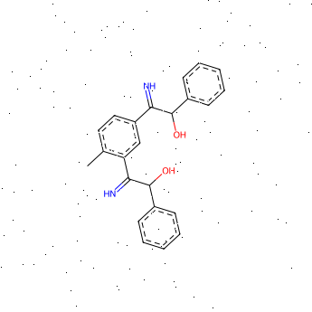 Cc1ccc(C(=N)C(O)c2ccccc2)cc1C(=N)C(O)c1ccccc1